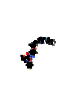 CC1(C)CN(Cc2ccc(-c3cc4nccc(Oc5ccc(NC(=O)c6c7c(cn(-c8ccc(F)cc8)c6=O)CCO7)cc5F)c4s3)nc2)C1